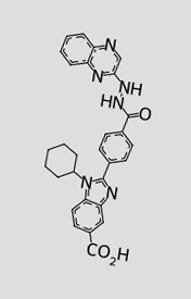 O=C(O)c1ccc2c(c1)nc(-c1ccc(C(=O)NNc3cnc4ccccc4n3)cc1)n2C1CCCCC1